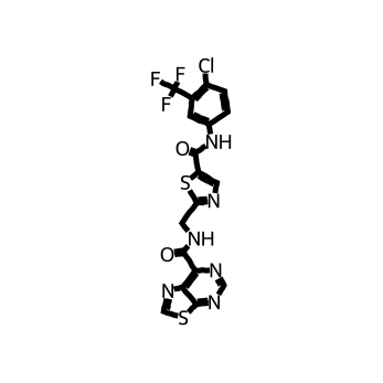 O=C(Nc1ccc(Cl)c(C(F)(F)F)c1)c1cnc(CNC(=O)c2ncnc3scnc23)s1